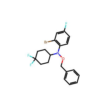 Fc1ccc(N(OCc2ccccc2)C2CCC(F)(F)CC2)c(Br)c1